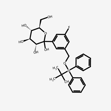 CC(C)(C)[Si](OCc1cc(F)cc(C2(O)O[C@H](CO)[C@@H](O)[C@H](O)[C@H]2O)c1)(c1ccccc1)c1ccccc1